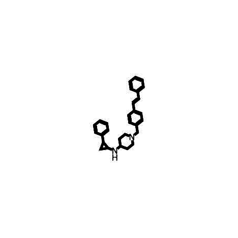 C(=C\c1ccc(CN2CCC(NC3CC3c3ccccc3)CC2)cc1)/c1ccccc1